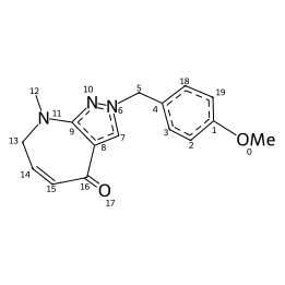 COc1ccc(Cn2cc3c(n2)N(C)CC=CC3=O)cc1